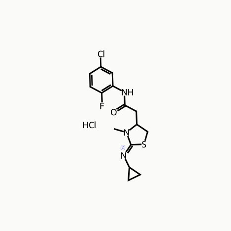 CN1/C(=N/C2CC2)SCC1CC(=O)Nc1cc(Cl)ccc1F.Cl